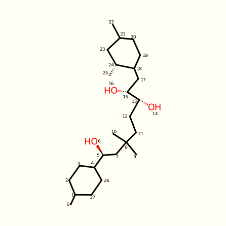 CC1CCC([C@@H](O)CC(C)(C)CC[C@@H](O)[C@H](O)CC2CCC(C)C[C@H]2C)CC1